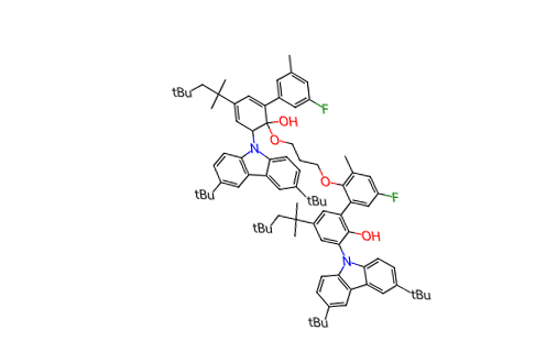 Cc1cc(F)cc(C2=CC(C(C)(C)CC(C)(C)C)=CC(n3c4ccc(C(C)(C)C)cc4c4cc(C(C)(C)C)ccc43)C2(O)OCCCOc2c(C)cc(F)cc2-c2cc(C(C)(C)CC(C)(C)C)cc(-n3c4ccc(C(C)(C)C)cc4c4cc(C(C)(C)C)ccc43)c2O)c1